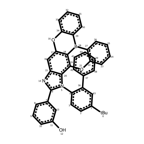 CC(C)(C)c1ccc(-n2c(-c3cccc(O)c3)nc3cc4c5c(c32)Oc2ccccc2B5c2ccccc2O4)c(-c2ccccc2)c1